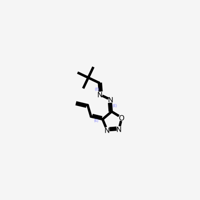 C=C/C=C1/N=NO/C1=N/N=C/C(C)(C)C